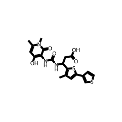 Cc1cc(-c2ccsc2)sc1C(CC(=O)O)NC(=O)Nc1c(O)cc(C)n(C)c1=O